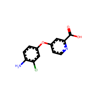 Nc1ccc(Oc2ccnc(C(=O)O)c2)cc1Cl